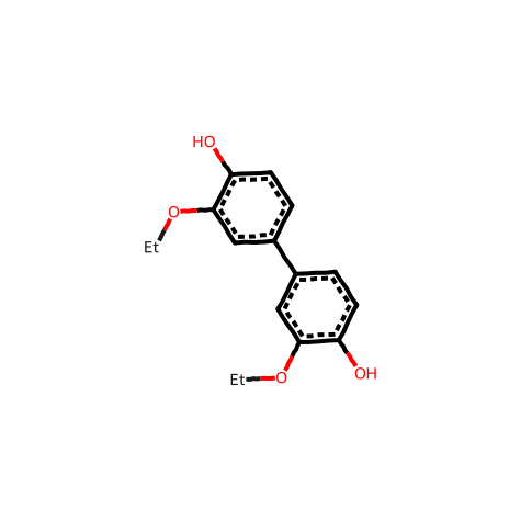 CCOc1cc(-c2ccc(O)c(OCC)c2)ccc1O